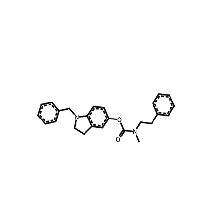 CN(CCc1ccccc1)C(=O)Oc1ccc2c(c1)CCN2Cc1ccccc1